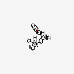 O=C(N[C@@H](C1=NC=CCC1)C1CCCC1)C1=CC=C2NNC(C3CCC(N4C5COCC4CC(O)C5)CC3)C2C1